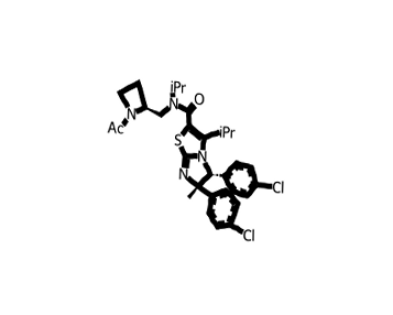 CC(=O)N1CC[C@H]1CN(C(=O)C1=C(C(C)C)N2C(=N[C@@](C)(c3ccc(Cl)cc3)[C@H]2c2ccc(Cl)cc2)S1)C(C)C